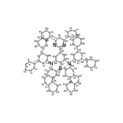 c1ccc(-c2cc(-c3ccccc3)cc(N3c4cc5ccc6ccccc6c5cc4B4c5cc6c(ccc7ccccc76)cc5N(c5cc(-c6ccccc6)cc(-c6ccccc6)c5)c5cc(-c6nc(-c7ccccc7)cc(-c7ccccc7)n6)cc3c54)c2)cc1